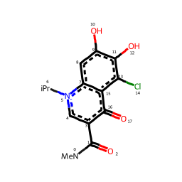 CNC(=O)c1cn(C(C)C)c2cc(O)c(O)c(Cl)c2c1=O